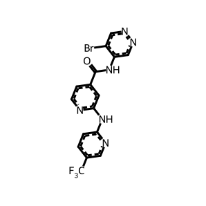 O=C(Nc1cnncc1Br)c1ccnc(Nc2ccc(C(F)(F)F)cn2)c1